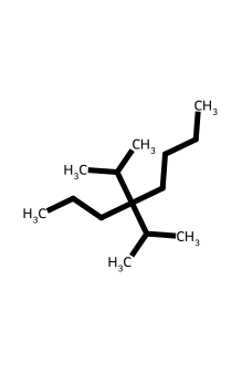 CCCCC(CCC)([C](C)C)C(C)C